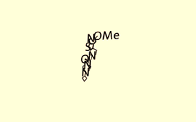 COc1cc2c3c(sc2cn1)CN(CC(=O)N1CCN(C2CCC2)CC1)CC3